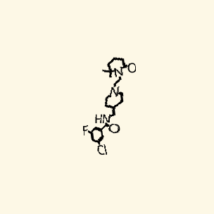 CC1(C)CCCC(=O)N1CCN1CCC(CNC(=O)c2cc(F)cc(Cl)c2)CC1